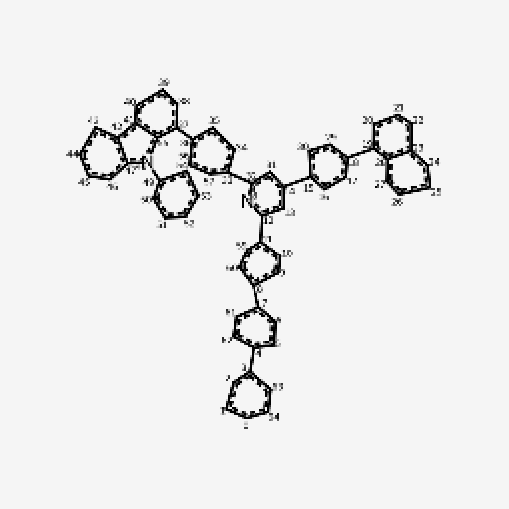 c1ccc(-c2ccc(-c3ccc(-c4cc(-c5ccc(-c6cccc7ccccc67)cc5)cc(-c5ccc(-c6cccc7c8ccccc8n(-c8ccccc8)c67)cc5)n4)cc3)cc2)cc1